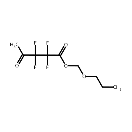 CCCOCOC(=O)C(F)(F)C(F)(F)C(C)=O